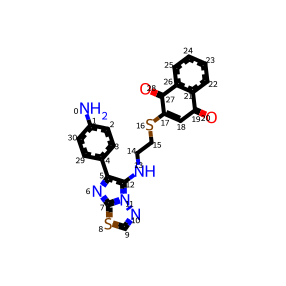 Nc1ccc(-c2nc3scnn3c2NCCSC2=CC(=O)c3ccccc3C2=O)cc1